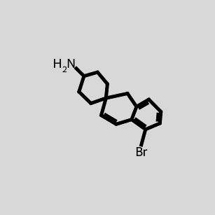 NC1CCC2(C=Cc3c(Br)cccc3C2)CC1